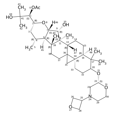 CC(=O)O[C@@H]([C@H]1C[C@@H](C)[C@H]2[C@H](O1)[C@H](O)[C@@]1(C)[C@@H]3CC[C@H]4C(C)(C)C(O[C@H]5CN(C6COC6)CCO5)CC[C@@]45CC35CC[C@]21C)C(C)(C)O